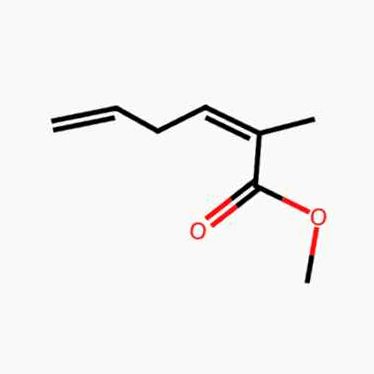 C=CCC=C(C)C(=O)OC